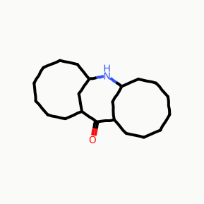 O=C1C2CCCCCCCC(C2)NC2CCCCCCCC1C2